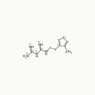 Cc1cscc1CCNC(=N)NC(=N)N